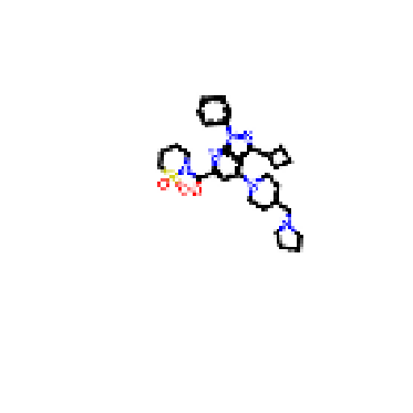 O=C(c1cc(N2CCC(CN3CCCC3)CC2)c2c(C3CCC3)nn(-c3ccccc3)c2n1)N1CCCCS1(=O)=O